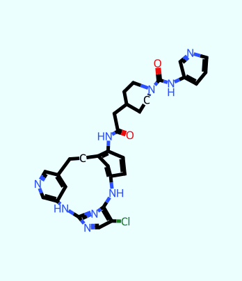 O=C(CC1CCN(C(=O)Nc2cccnc2)CC1)Nc1ccc2cc1CCc1cncc(c1)Nc1ncc(Cl)c(n1)N2